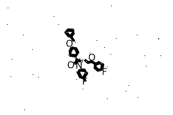 O=C(CC[C@H]1[C@H](c2ccc(OCc3ccccc3)cc2)C(=O)N1c1ccc(F)cc1)c1ccc(F)cc1